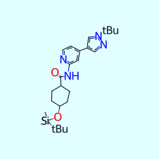 CC(C)(C)n1cc(-c2ccnc(NC(=O)C3CCC(O[Si](C)(C)C(C)(C)C)CC3)c2)cn1